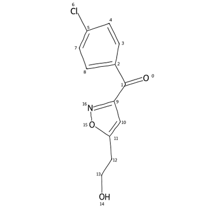 O=C(c1ccc(Cl)cc1)c1cc(CCO)on1